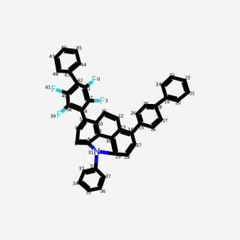 Fc1c(F)c(-c2ccc3c4c2ccc2c(-c5ccc(-c6ccccc6)cc5)ccc(c24)n3-c2ccccc2)c(F)c(F)c1-c1ccccc1